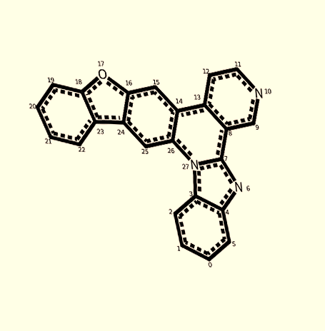 c1ccc2c(c1)nc1c3cnccc3c3cc4oc5ccccc5c4cc3n21